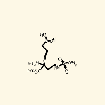 NC(CCCCB(O)O)(CCNS(N)(=O)=O)C(=O)O